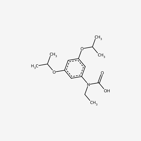 CCN(C(=O)O)c1cc(OC(C)C)cc(OC(C)C)c1